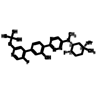 CCC[C@]1(C)CC[C@H](F)[C@H](N(C)c2cnc(-c3ccc(-c4cc(OC(S)(S)S)ncc4F)cc3O)nn2)C1